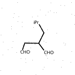 CC(C)CC([C]=O)C[C]=O